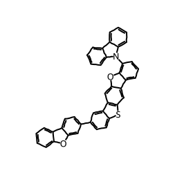 c1ccc2c(c1)oc1cc(-c3ccc4sc5cc6c(cc5c4c3)oc3c(-n4c5ccccc5c5ccccc54)cccc36)ccc12